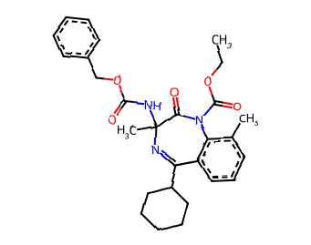 CCOC(=O)N1C(=O)C(C)(NC(=O)OCc2ccccc2)N=C(C2CCCCC2)c2cccc(C)c21